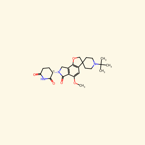 COc1cc2c(c3c1C(=O)N([C@H]1CCC(=O)NC1=O)C3)OCC21CCN(C(C)(C)C)CC1